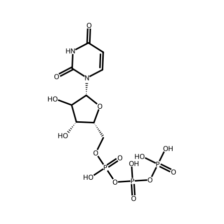 O=c1ccn([C@@H]2O[C@H](COP(=O)(O)OP(=O)(O)OP(=O)(O)O)[C@H](O)C2O)c(=O)[nH]1